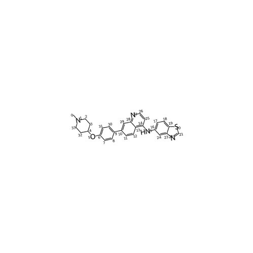 CN1CCC(Oc2ccc(-c3ccc4c(Nc5ccc6scnc6c5)ccnc4c3)cc2)CC1